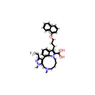 CN1CCCCn2c(C(O)O)c(CCCOc3cccc4ccccc34)c3cccc(c32)-c2c(CC(F)(F)F)nn(C)c2C1